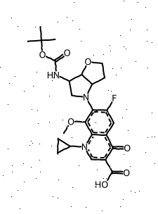 COc1c(N2CC(NC(=O)OC(C)(C)C)C3OCCC32)c(F)cc2c(=O)c(C(=O)O)cn(C3CC3)c12